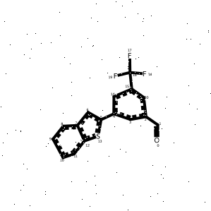 O=Cc1cc(-c2cc3ccccc3s2)cc(C(F)(F)F)c1